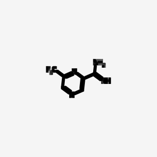 N=C(N)c1cncc(C(F)(F)F)n1